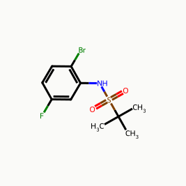 CC(C)(C)S(=O)(=O)Nc1cc(F)ccc1Br